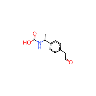 CC(NC(=O)O)c1ccc(CC=O)cc1